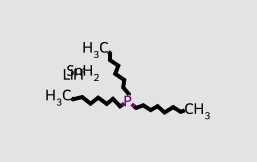 CCCCCCCCP(CCCCCCCC)CCCCCCCC.[LiH].[SnH2]